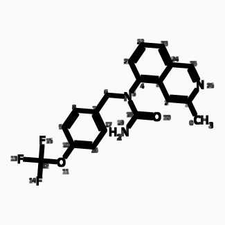 Cc1cc2c(N(Cc3ccc(OC(F)(F)F)cc3)C(N)=O)cccc2cn1